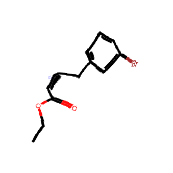 CCOC(=O)/C=C\Cc1cccc(Br)c1